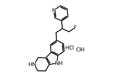 Cl.Cl.FCC(Cc1ccc2[nH]c3c(c2c1)CNCC3)c1cccnc1